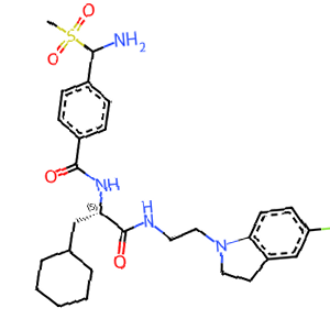 CS(=O)(=O)C(N)c1ccc(C(=O)N[C@@H](CC2CCCCC2)C(=O)NCCN2CCc3cc(F)ccc32)cc1